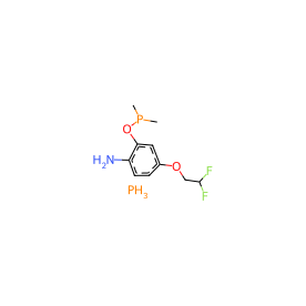 CP(C)Oc1cc(OCC(F)F)ccc1N.P